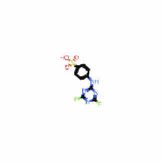 O=S(=O)(O)c1ccc(Nc2nc(F)nc(F)n2)cc1